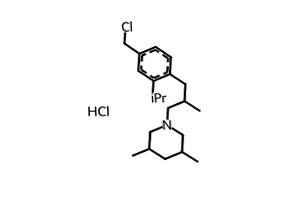 CC(Cc1ccc(CCl)cc1C(C)C)CN1CC(C)CC(C)C1.Cl